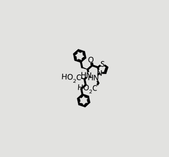 O=C(O)CNN1C=CSC1C(=O)[C@H](Cc1ccccc1)N[C@@H](CCc1ccccc1)C(=O)O